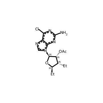 CC[C@H]1[C@@H](OC(C)=O)[C@H](n2cnc3c(Cl)nc(N)nc32)O[C@@H]1CC